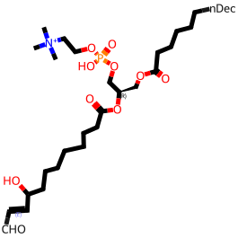 CCCCCCCCCCCCCCCC(=O)OC[C@H](COP(=O)(O)OCC[N+](C)(C)C)OC(=O)CCCCCCCC(O)/C=C/C=O